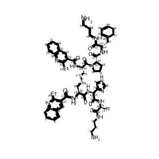 CCc1nc2ccccc2cc1C(=O)N[C@@H](CSSC[C@H](NC(=O)c1cc2ccccc2nc1CC)C(=O)N1CCC[C@H]1C(=O)N[C@@H](CC1=CC=CCC1)C(=O)NCCCN)C(=O)N[C@H](C(=O)N[C@H](C(=O)NCCCN)C(C)C)c1c[nH]cn1